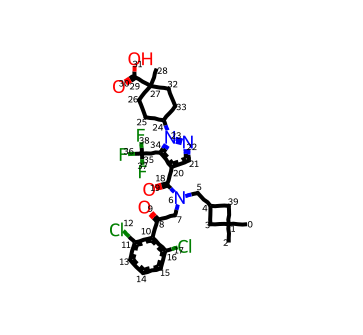 CC1(C)CC(CN(CC(=O)c2c(Cl)cccc2Cl)C(=O)c2cnn(C3CCC(C)(C(=O)O)CC3)c2C(F)(F)F)C1